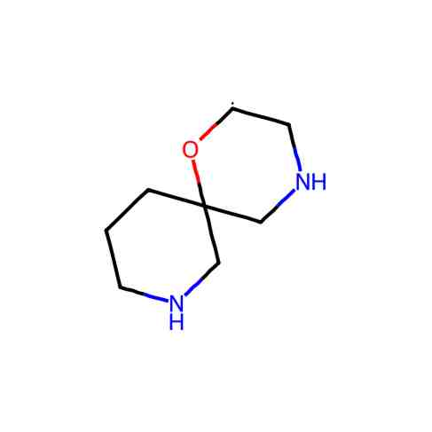 [CH]1CNCC2(CCCNC2)O1